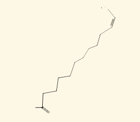 CCCC/C=C\CCCCCCCCCC(=O)OC(C)=O